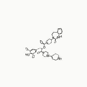 O=C(OC(Cc1cc(Cl)c(O)c(Cl)c1)C(=O)N1CCN(C2CCNCC2)CC1)N1CCC(N2CCc3ccccc3NC2=O)CC1